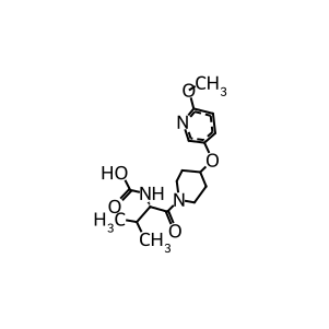 COc1ccc(OC2CCN(C(=O)[C@@H](NC(=O)O)C(C)C)CC2)cn1